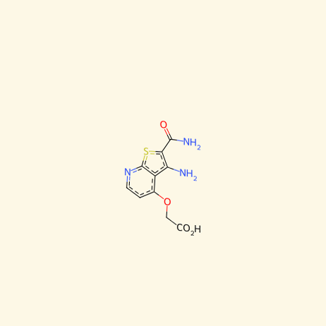 NC(=O)c1sc2nccc(OCC(=O)O)c2c1N